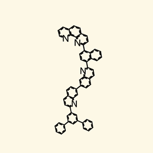 c1ccc(-c2cc(-c3ccccc3)cc(-c3ccc4ccc(-c5ccc6ccc(-c7ccc(-c8ccc9ccc%10cccnc%10c9n8)c8ccccc78)nc6c5)cc4n3)c2)cc1